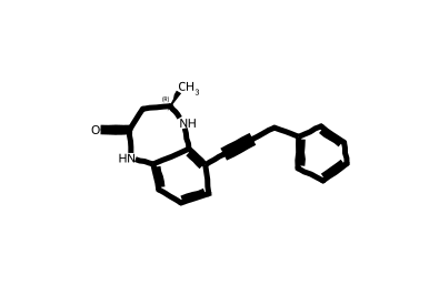 C[C@@H]1CC(=O)Nc2cccc(C#CCc3ccccc3)c2N1